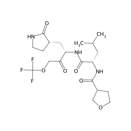 CC(C)C[C@H](NC(=O)C1CCOC1)C(=O)N[C@@H](C[C@@H]1CCNC1=O)C(=O)COC(F)(F)F